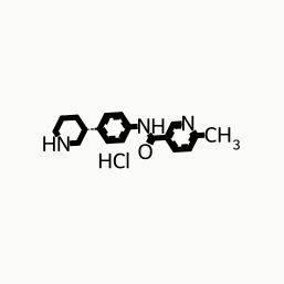 Cc1ccc(C(=O)Nc2ccc([C@H]3CCCNC3)cc2)cn1.Cl